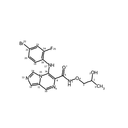 CC(O)CONC(=O)c1ncc2cncn2c1Nc1ccc(Br)cc1F